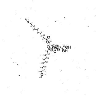 COCCCCCCCCCCCC(=O)OC[C@@H](COP(=O)(O)OCC(O)CO)OC(=O)CCCCCCCCCCCOC